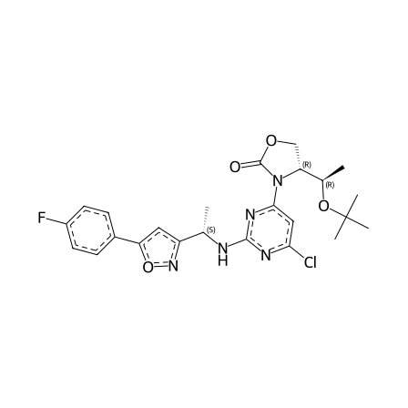 C[C@H](Nc1nc(Cl)cc(N2C(=O)OC[C@@H]2[C@@H](C)OC(C)(C)C)n1)c1cc(-c2ccc(F)cc2)on1